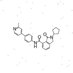 Cc1cc(-c2ccc(NC(=O)c3cccc4c3C(=O)N(C3CCCC3)C4)cc2)ccn1